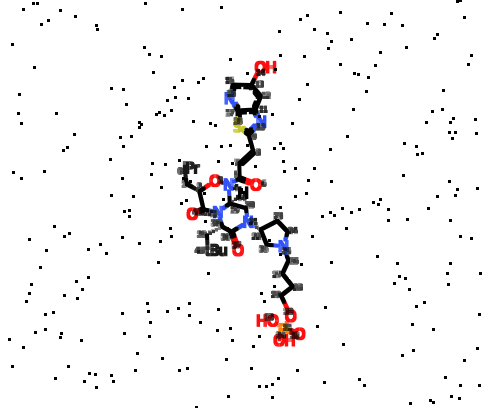 CC(C)C[C@H]1ON(C(=O)/C=C/c2nc3cc(O)cnc3s2)[C@H]2CN([C@@H]3CCN(CCCCOP(=O)(O)O)C3)C(=O)[C@H](CC(C)(C)C)N2C1=O